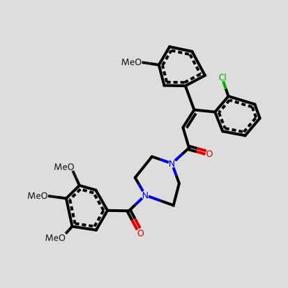 COc1cccc(C(=CC(=O)N2CCN(C(=O)c3cc(OC)c(OC)c(OC)c3)CC2)c2ccccc2Cl)c1